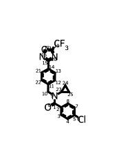 O=C(c1ccc(Cl)cc1)N(Cc1ccc(-c2noc(C(F)(F)F)n2)cc1)C1CC1